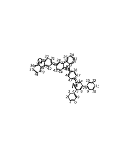 C1=CCCC(c2cc(-c3ccccc3)cc(-c3ccc(N4c5ccccc5C5C=C(c6ccc7oc8ccccc8c7c6)C=CC54)cc3)n2)=C1